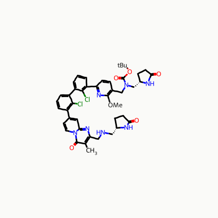 COc1nc(-c2cccc(-c3cccc(-c4ccn5c(=O)c(C)c(CNC[C@@H]6CCC(=O)N6)nc5c4)c3Cl)c2Cl)ccc1CN(C[C@@H]1CCC(=O)N1)C(=O)OC(C)(C)C